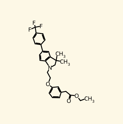 CCOC(=O)Cc1cccc(OCCN2CC(C)(C)c3cc(-c4ccc(C(F)(F)F)cc4)ccc32)c1